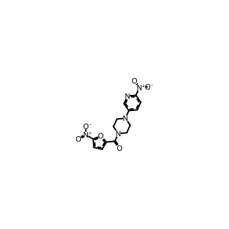 O=C(c1ccc([N+](=O)[O-])o1)N1CCN(c2ccc([N+](=O)[O-])nc2)CC1